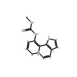 COC(=O)OC1=C2c3sccc3C=CN2CC=C1